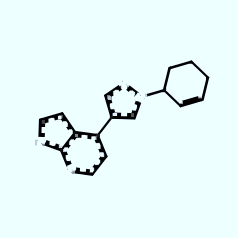 C1=CC(n2cc(-c3ccnc4[nH]ccc34)cn2)CCC1